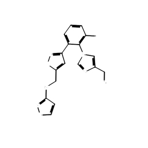 OCc1cn(-c2c(F)cccc2-c2cc(CNc3ccon3)on2)cn1